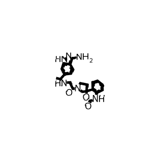 CC(NCC(=O)N1CCC2(C1)OC(=O)Nc1ccccc12)c1ccc2c(N)n[nH]c2c1